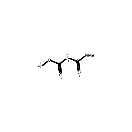 CCOC(=O)NC(=O)NC